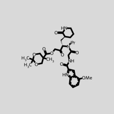 COc1cccc2[nH]c(C(=O)NCC(=O)N(C(C)C)[C@@H](C[C@@H]3CCCNC3=O)C(=O)COC(=O)C3(C)COC(C)(C)OC3)cc12